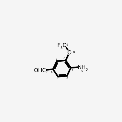 Nc1ccc(C=O)cc1OC(F)(F)F